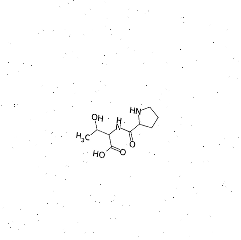 CC(O)C(NC(=O)C1CCCN1)C(=O)O